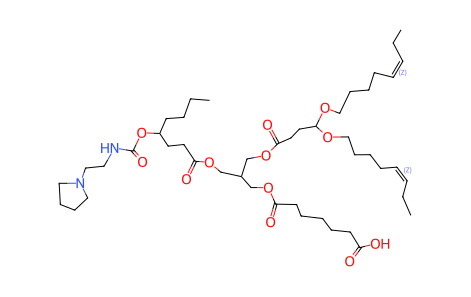 CC/C=C\CCCCOC(CCC(=O)OCC(COC(=O)CCCCCC(=O)O)COC(=O)CCC(CCCC)OC(=O)NCCN1CCCC1)OCCCC/C=C\CC